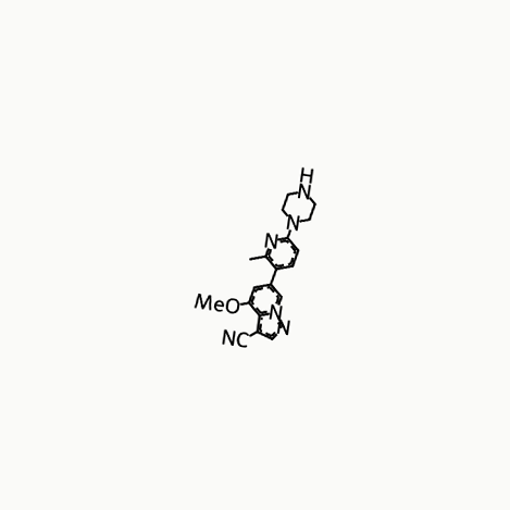 COc1cc(-c2ccc(N3CCNCC3)nc2C)cn2ncc(C#N)c12